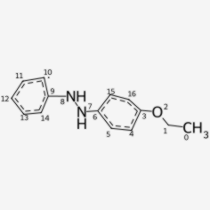 CCOc1ccc(NNc2[c]cccc2)cc1